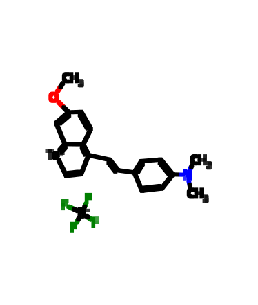 COc1ccc2c(C=Cc3ccc(N(C)C)cc3)cc[te+]c2c1.F[B-](F)(F)F